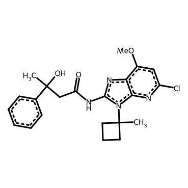 COc1cc(Cl)nc2c1nc(NC(=O)CC(C)(O)c1ccccc1)n2C1(C)CCC1